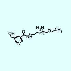 CCOC[C@@H](N)CCCCNC(=O)c1cncc(CO)c1